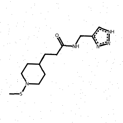 CSN1CCC(CCC(=O)NCc2c[nH]nn2)CC1